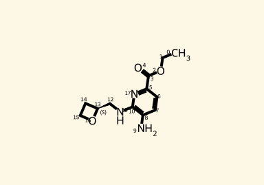 CCOC(=O)c1ccc(N)c(NC[C@@H]2CCO2)n1